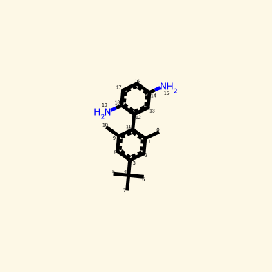 Cc1cc(C(C)(C)C)cc(C)c1-c1cc(N)ccc1N